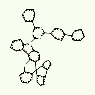 c1ccc(-c2ccc(-c3nc(-c4ccccc4)nc(-n4c5ccccc5c5c6c(ccc54)C4(c5ccccc5S6)c5ccccc5-c5ccccc54)n3)cc2)cc1